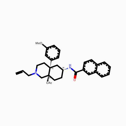 C=CCN1CC[C@@]2(c3cccc(OC)c3)C[C@H](NC(=O)c3ccc4ccccc4c3)CC[C@]2(OC(C)=O)C1